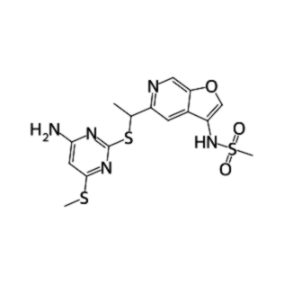 CSc1cc(N)nc(SC(C)c2cc3c(NS(C)(=O)=O)coc3cn2)n1